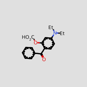 CCN(CC)c1ccc(C(=O)c2ccccc2)c(OC(=O)O)c1